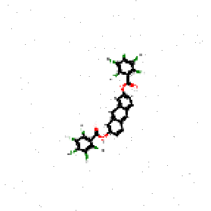 O=C(Oc1ccc2cc3ccc(OC(=O)c4c(F)c(F)c(F)c(F)c4F)cc3cc2c1)c1c(F)c(F)c(F)c(F)c1F